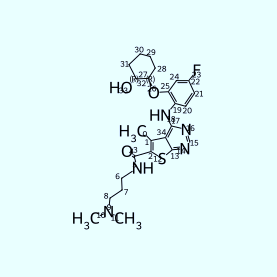 Cc1c(C(=O)NCCCN(C)C)sc2ncnc(Nc3ccc(F)cc3O[C@@H]3CCCC[C@H]3O)c12